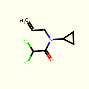 C=CCN(C(=O)C(Cl)Cl)C1CC1